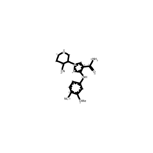 COc1cc(Nc2nn(C3COCCC3C#N)cc2C(N)=O)ccc1C#N